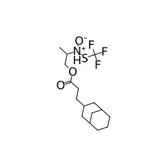 CC(COC(=O)CCC1CC2CCCC(C2)C1)[NH+]([O-])SC(F)(F)F